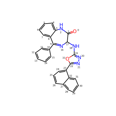 O=C1Nc2ccccc2C(c2ccccc2)=NC1Nc1nnc(-c2cccc3ccccc23)o1